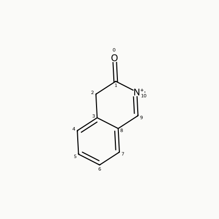 O=C1Cc2ccccc2C=[N+]1